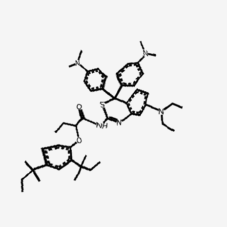 CCC(Oc1ccc(C(C)(C)CC)cc1C(C)(C)CC)C(=O)NC1=Nc2cc(N(CC)CC)ccc2C(c2ccc(N(C)C)cc2)(c2ccc(N(C)C)cc2)S1